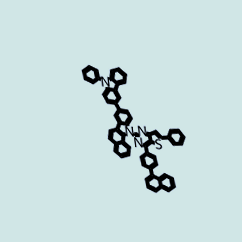 c1ccc(-c2cc3nc(-n4c5ccc(-c6ccc7c(c6)c6ccccc6n7-c6ccccc6)cc5c5ccc6ccccc6c54)nc(-c4ccc(-c5cccc6ccccc56)cc4)c3s2)cc1